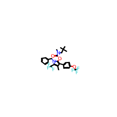 Cc1c(-c2ccc(OC(F)(F)F)cc2)c(OC(=O)N(C)CC(C)(C)C)n(Cc2ccccc2)c1C(F)(F)F